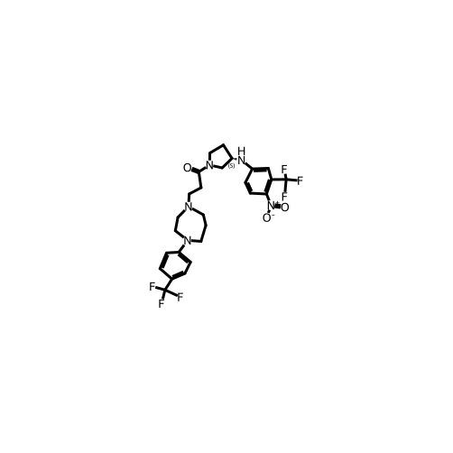 O=C(CCN1CCCN(c2ccc(C(F)(F)F)cc2)CC1)N1CC[C@H](Nc2ccc([N+](=O)[O-])c(C(F)(F)F)c2)C1